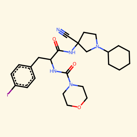 N#CC1(NC(=O)C(Cc2ccc(I)cc2)NC(=O)N2CCOCC2)CCN(C2CCCCC2)C1